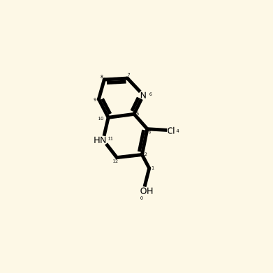 OCC1=C(Cl)c2ncccc2NC1